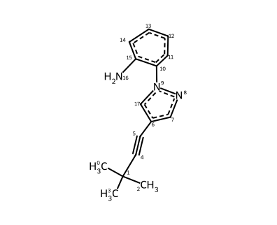 CC(C)(C)C#Cc1cnn(-c2ccccc2N)c1